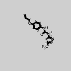 C=CCOc1ccc(NC(=O)Nc2nnc(C(F)(F)F)s2)cc1